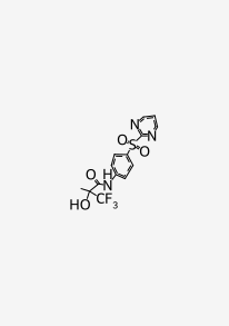 CC(O)(C(=O)Nc1ccc(S(=O)(=O)c2ncccn2)cc1)C(F)(F)F